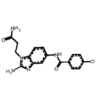 NC(=O)CCn1c(N)nc2cc(NC(=O)c3ccc(Cl)cc3)ccc21